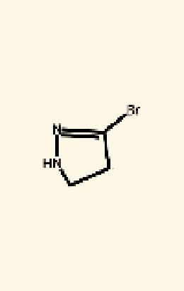 BrC1=NNC[CH]1